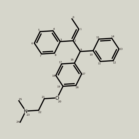 C/C=C(\c1ccccc1)C(c1ccccc1)c1ccc(OCCN(C)C)cc1